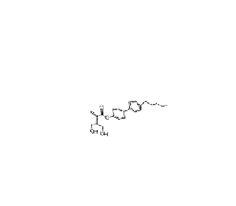 C=C(C(=O)Oc1ccc(-c2ccc(CCCCC)cc2)cc1)C(CO)CO